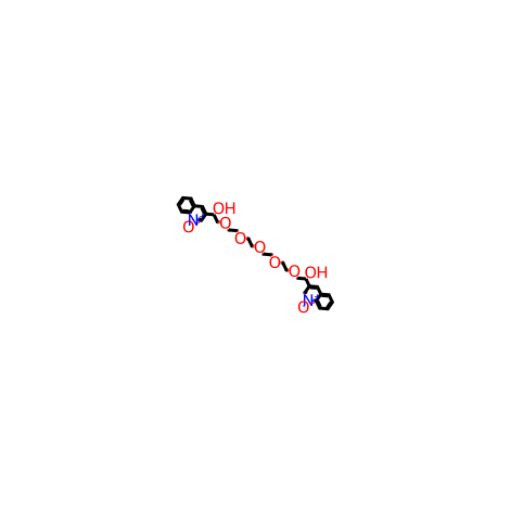 [O-][n+]1cc(C(O)COCCOCCOCCOCCOCC(O)c2cc3ccccc3[n+]([O-])c2)cc2ccccc21